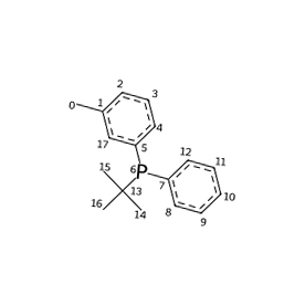 Cc1cccc(P(c2ccccc2)C(C)(C)C)c1